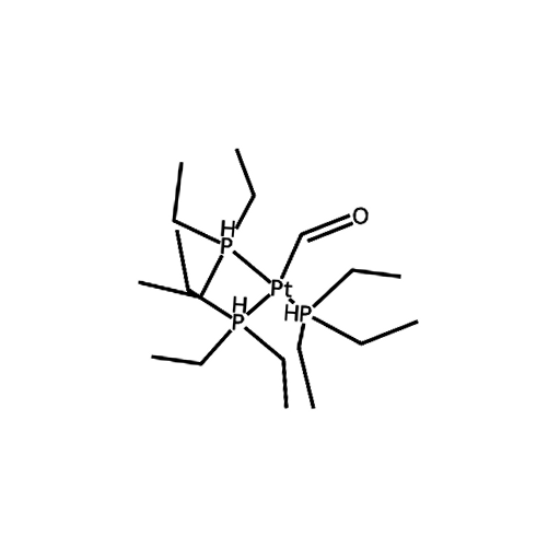 CC[PH](CC)(CC)[Pt]([CH]=O)([PH](CC)(CC)CC)[PH](CC)(CC)CC